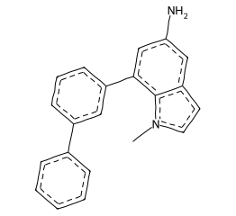 Cn1ccc2cc(N)cc(-c3cccc(-c4ccccc4)c3)c21